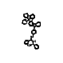 NC(N/C(=N\Cc1ccc(-n2c3ccccc3c3c4c(ccc32)C(c2ccccc2)(c2ccccc2)c2ccccc2-4)cc1)c1ccccc1)c1ccccc1